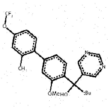 COc1cc(-c2ccc(OC(F)(F)F)cc2C)ccc1C(O)(c1cncnc1)C(C)(C)C